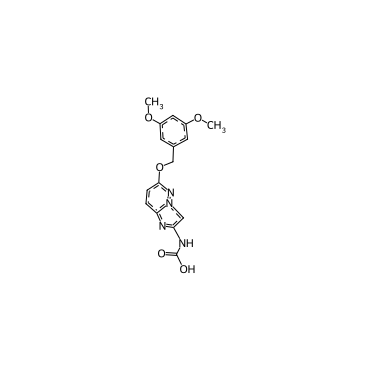 COc1cc(COc2ccc3nc(NC(=O)O)cn3n2)cc(OC)c1